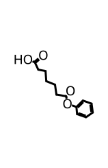 O=C(O)CCCCCC(=O)Oc1ccccc1